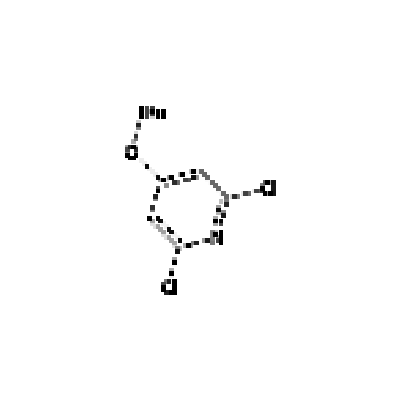 CC(C)(C)Oc1cc(Cl)nc(Cl)c1